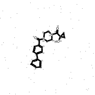 O=C(c1ccc(-c2c[c]ccc2)cc1)N1CCN(C(=O)C2(O)CC2)CC1